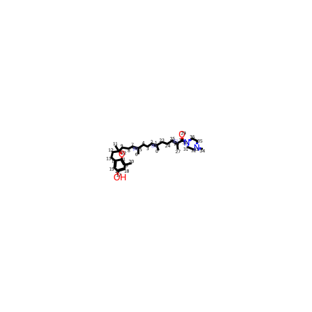 C/C(=C\CC/C(C)=C/CCC1(C)CCc2cc(O)cc(C)c2O1)CC/C=C(\C)C(=O)N1CCN(C)CC1